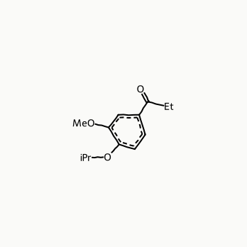 CCC(=O)c1ccc(OC(C)C)c(OC)c1